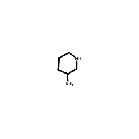 B[C@H]1CCCNC1